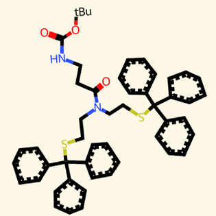 CC(C)(C)OC(=O)NCCC(=O)N(CCSC(c1ccccc1)(c1ccccc1)c1ccccc1)CCSC(c1ccccc1)(c1ccccc1)c1ccccc1